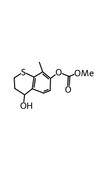 COC(=O)Oc1ccc2c(c1C)SCCC2O